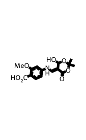 COc1cc(N/C=C2/C(=O)OC(C)(C)OC2O)ccc1C(=O)O